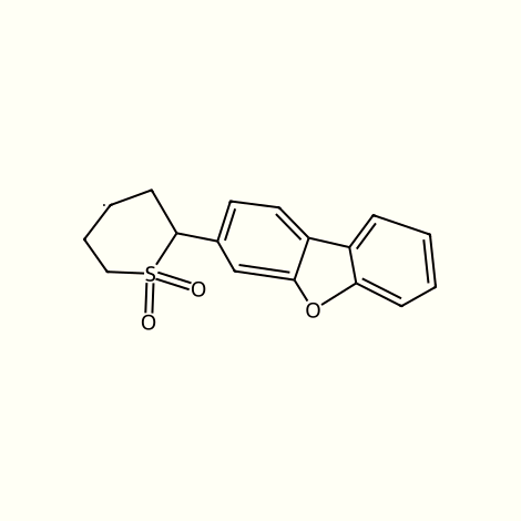 O=S1(=O)CC[CH]CC1c1ccc2c(c1)oc1ccccc12